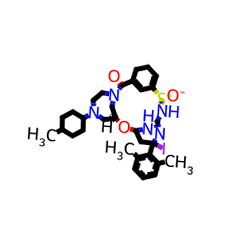 Cc1cccc(C)c1C1(I)CC2NC(=N1)N[S+]([O-])C1=CCCC(=C1)C(=O)N1CCN(C3CCC(C)CC3)C[C@H](C1)O2